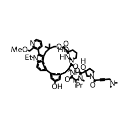 CCn1c(-c2cccnc2COC)c2c3cc(ccc31)-c1cc(O)cc(c1)C[C@H](NC(=O)[C@H](C(C)C)N(C)C(=O)C1(O)CCN(C(=O)C#CCN(C)C)C1)C(=O)N1CCC[C@@](O)(N1)C(=O)OCC(C)(C)C2